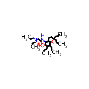 C=CCc1c(O)c(NC(=O)CN(CC=C)CC=C)c2c(c1CC=C)OC(CC=C)(CC=C)CC2